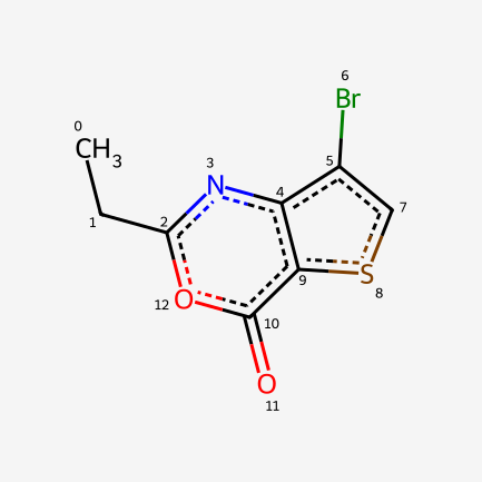 CCc1nc2c(Br)csc2c(=O)o1